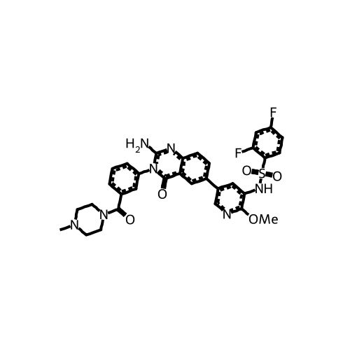 COc1ncc(-c2ccc3nc(N)n(-c4cccc(C(=O)N5CCN(C)CC5)c4)c(=O)c3c2)cc1NS(=O)(=O)c1ccc(F)cc1F